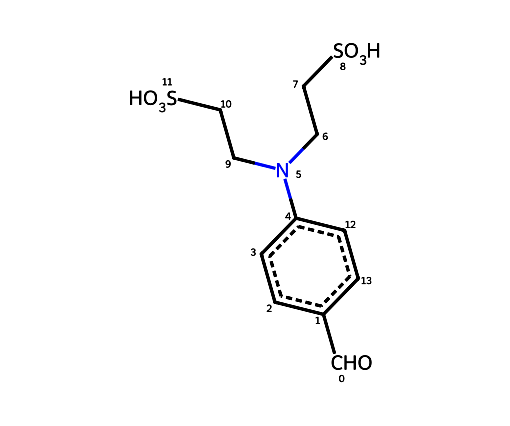 O=Cc1ccc(N(CCS(=O)(=O)O)CCS(=O)(=O)O)cc1